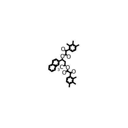 Cc1ccc(C(=O)C(=O)OC(CC(OC(=O)C(=O)c2ccc(C)c(C)c2C)C(F)(F)F)c2ccc3ccccc3c2)c(C)c1C